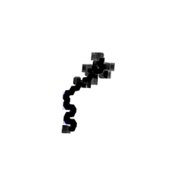 CC/C=C\C/C=C\C/C=C\C/C=C\C/C=C\CCCC(=O)NCCC(=O)NC1C(O)OC(CO)C(O)C1O